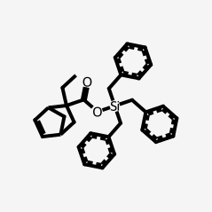 CCC1(C(=O)O[Si](Cc2ccccc2)(Cc2ccccc2)Cc2ccccc2)CC2C=CC1C2